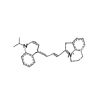 CC(C)N1C=C/C(=C\C=CC2=[N+]3CCCc4cccc(c43)C2)c2ccccc21